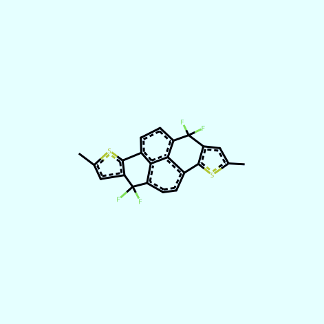 Cc1cc2c(s1)-c1ccc3c4c(ccc(c14)C2(F)F)-c1sc(C)cc1C3(F)F